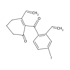 C=CC1=C(C(=O)c2ccc(I)cc2C=C)C(=O)CCC1